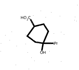 CC(C)C1(O)CCC(C(=O)O)CC1